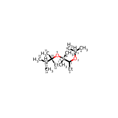 CCC(O[SiH](C)C)[Si](C)(C)O[C@](C)(CC)[SiH](C)C